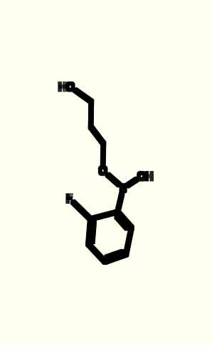 OCCCOB(O)c1ccccc1F